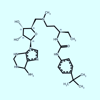 CC[C@H](CCN(C)C[C@H]1O[C@@H](n2cnc3c2NCNC3N)[C@H](O)[C@@H]1O)NC(=O)Nc1ccc(C(C)(C)C)cc1